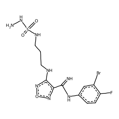 N=C(Nc1ccc(F)c(Br)c1)c1nonc1NCCCNS(=O)(=O)NN